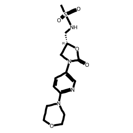 CS(=O)(=O)NC[C@H]1CN(c2ccc(N3CCOCC3)nc2)C(=O)O1